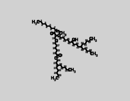 CCCCCCCCN(CC)C(=O)C(COCCCCCC(=O)OCCC(CCCCC)CCCCC)OCCCCC[C@@H](O)CCCC(CCCCC)CCCCC